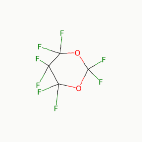 FC1(F)OC(F)(F)C(F)(F)C(F)(F)O1